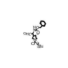 CC(C)(C)OC(=O)N1CCC(C(C=O)NC(=O)OCc2ccccc2)C1